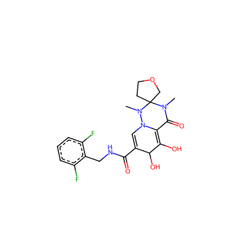 CN1C(=O)C2=C(O)C(O)C(C(=O)NCc3c(F)cccc3F)=CN2N(C)C12CCOC2